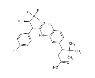 C[C@H]([C@H](C(=O)Nc1cc(C(CC(=O)O)C(C)(C)C)ccc1Cl)c1ccc(Cl)cc1)C(F)(F)F